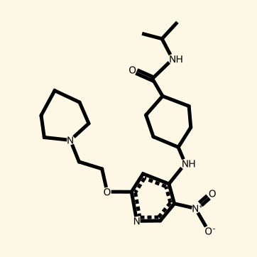 CC(C)NC(=O)C1CCC(Nc2cc(OCCN3CCCCC3)ncc2[N+](=O)[O-])CC1